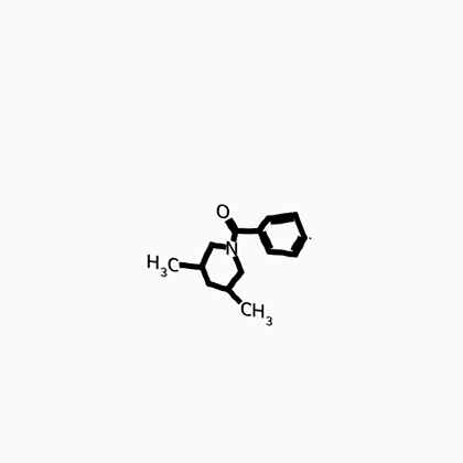 CC1CC(C)CN(C(=O)c2cc[c]cc2)C1